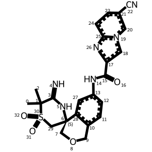 CC1(C)C(=N)N[C@@]2(COCc3ccc(NC(=O)c4cn5cc(C#N)ccc5n4)cc32)CS1(=O)=O